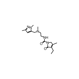 CCC1=C(C)CN(C(=O)NCCN(C)Cc2cc(C)nn2C)C1=O